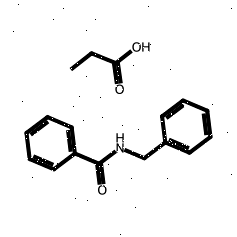 CCC(=O)O.O=C(NCc1ccccc1)c1ccccc1